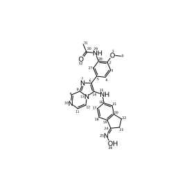 COc1ccc(-c2nc3cnccn3c2Nc2ccc3c(c2)CC/C3=N\O)cc1NC(C)=O